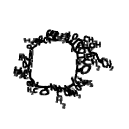 C=CCCC(O)C[C@@H](C)CC1C(=O)N[C@@H](CC)C(=O)N(C)CC(=O)N(C)[C@@H](CC(C)C)C(=O)NC(C(C)C)C(=O)N(C)[C@@H](CC(C)C)C(=O)N[C@@H](C)C(=O)N[C@H](C)C(=O)N(C)[C@@H](CC(C)C)C(=O)N(C)[C@@H](CC(C)C)C(=O)N(C)C(C(C)C)C(=O)N1C